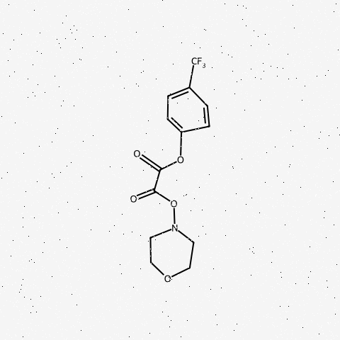 O=C(Oc1ccc(C(F)(F)F)cc1)C(=O)ON1CCOCC1